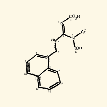 CC(=O)N(C(=NC(=O)O)NCc1cccc2ccccc12)C(C)(C)C